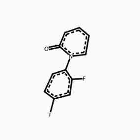 O=c1ccccn1-c1ccc(I)cc1F